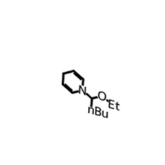 CCCCC(OCC)N1C=CCC=C1